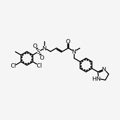 Cc1cc(S(=O)(=O)N(C)C/C=C/C(=O)N(C)Cc2ccc(C3=NCCN3)cc2)c(Cl)cc1Cl